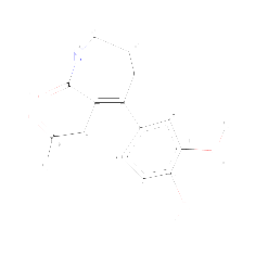 COc1ccc(C2=C(CC(C)=O)C(=O)NCCC2)cc1OC